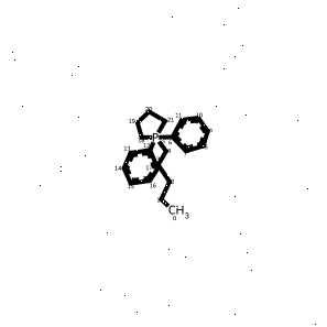 CCCCCP1(c2ccccc2)(c2ccccc2)CCCC1